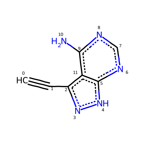 C#Cc1n[nH]c2ncnc(N)c12